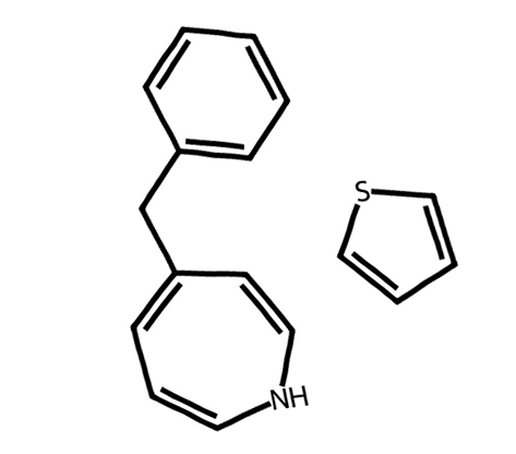 C1=CNC=CC(Cc2ccccc2)=C1.c1ccsc1